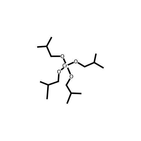 CC(C)C[O][Cr]([O]CC(C)C)([O]CC(C)C)[O]CC(C)C